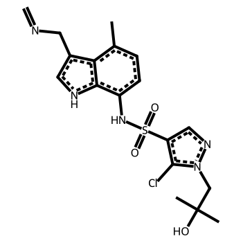 C=NCc1c[nH]c2c(NS(=O)(=O)c3cnn(CC(C)(C)O)c3Cl)ccc(C)c12